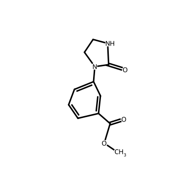 COC(=O)c1cccc(N2CCNC2=O)c1